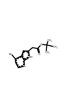 CC(C)(C)OC(=O)Cc1cc2c(Br)ccnc2[nH]1